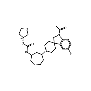 CC(=O)N1CC2(CCN(C3CCCCC(NC(=O)O[C@@H]4CCOC4)C3)CC2)c2cc(F)ccc21